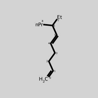 C=CCC/C=C/C(CC)CCC